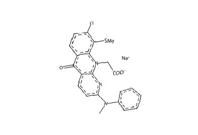 CSc1c(Cl)ccc2c(=O)c3ccc(N(C)c4ccccc4)nc3n(CC(=O)[O-])c12.[Na+]